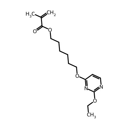 C=C(C)C(=O)OCCCCCCOc1ccnc(OCC)n1